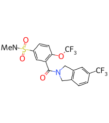 CNS(=O)(=O)c1ccc(OC(F)(F)F)c(C(=O)N2Cc3ccc(C(F)(F)F)cc3C2)c1